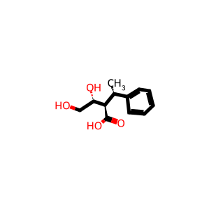 C[C@H](c1ccccc1)[C@@H](C(=O)O)[C@@H](O)CO